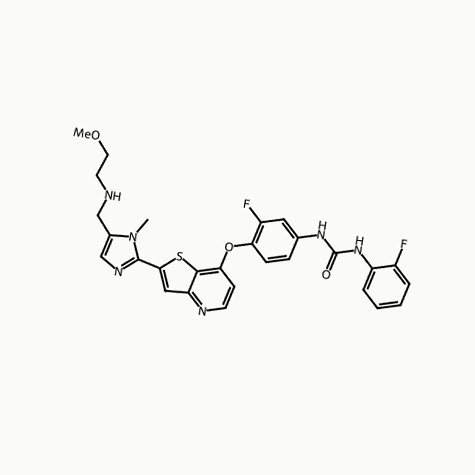 COCCNCc1cnc(-c2cc3nccc(Oc4ccc(NC(=O)Nc5ccccc5F)cc4F)c3s2)n1C